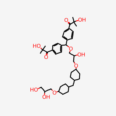 CC(C)(O)C(=O)c1ccc(C(OCC(O)COC2CCC(CC3CCC(OCC(O)CO)CC3)CC2)c2ccc(C(=O)C(C)(C)O)cc2)cc1